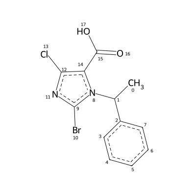 CC(c1ccccc1)n1c(Br)nc(Cl)c1C(=O)O